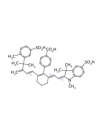 C=C(/C=C/C1=C(c2ccc(C(=O)O)cc2)C(=C/C=C2/N(C)c3ccc(S(=O)(=O)O)cc3C2(C)C)/CCC1)C(C)(C)c1cc(S(=O)(=O)O)ccc1C